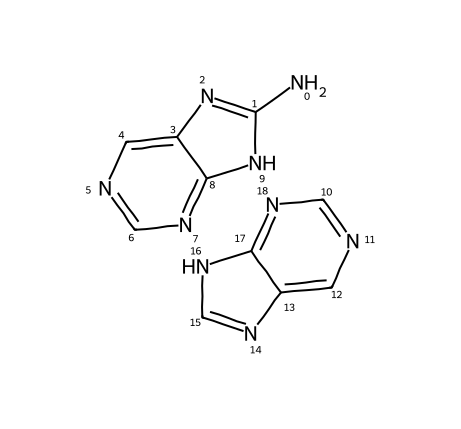 Nc1nc2cncnc2[nH]1.c1ncc2nc[nH]c2n1